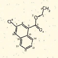 CCOC(=O)c1cc(Cl)nc2ccccc12